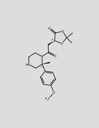 CC1(C)OC(=O)[C@H](CC(=O)N2CCNC[C@@]2(C)c2ccc(OC(F)(F)F)cc2)O1